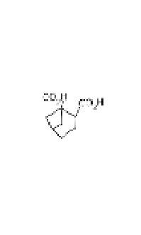 O=C(O)C1CCC2CC1(C(=O)O)C2